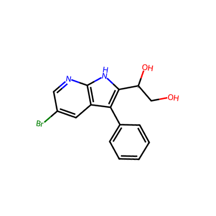 OC[C](O)c1[nH]c2ncc(Br)cc2c1-c1ccccc1